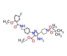 CCOC(=O)c1c(N)c(C2CCN(C(=O)OC(C)(C)C)CC2)nn1-c1ccc(CNC(=O)c2cc(F)ccc2OC)cc1